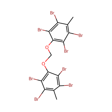 Cc1c(Br)c(Br)c(OCOc2c(Br)c(Br)c(C)c(Br)c2Br)c(Br)c1Br